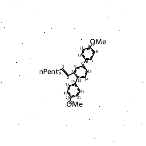 CCCCC/C=C/c1cc(-c2ccc(OC)cc2)ccc1-c1ccc(OC)cc1